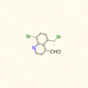 O=Cc1ccnc2c(Br)ccc(CBr)c12